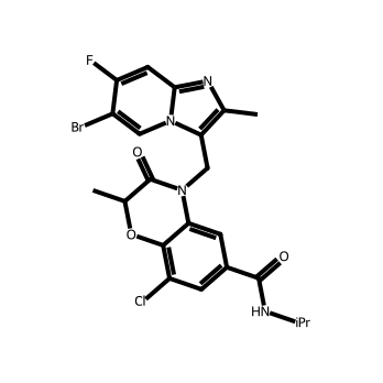 Cc1nc2cc(F)c(Br)cn2c1CN1C(=O)C(C)Oc2c(Cl)cc(C(=O)NC(C)C)cc21